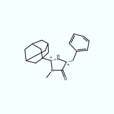 CN1C(=O)[C@@H](Cc2ccccc2)N[C@H]1C12CC3CC(CC(C3)C1)C2